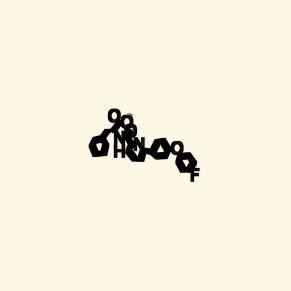 COC(=O)[C@H](Cc1ccccc1)NC(=O)c1cccc(-c2ccc(Oc3ccc(F)cc3)cc2)n1